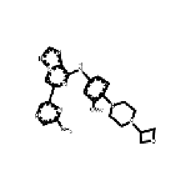 COc1cc(Nc2nc(-c3cncc(N)n3)cn3ncnc23)ccc1N1CCN(C2COC2)CC1